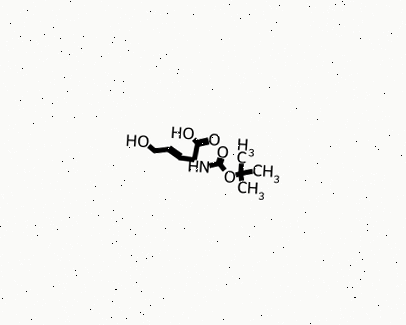 CC(C)(C)OC(=O)NC(C=CCO)C(=O)O